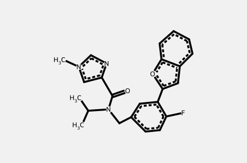 CC(C)N(Cc1ccc(F)c(-c2cc3ccccc3o2)c1)C(=O)c1cn(C)cn1